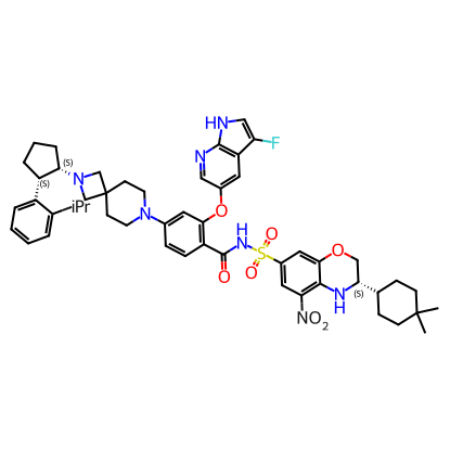 CC(C)c1ccccc1[C@@H]1CCC[C@@H]1N1CC2(CCN(c3ccc(C(=O)NS(=O)(=O)c4cc5c(c([N+](=O)[O-])c4)N[C@@H](C4CCC(C)(C)CC4)CO5)c(Oc4cnc5[nH]cc(F)c5c4)c3)CC2)C1